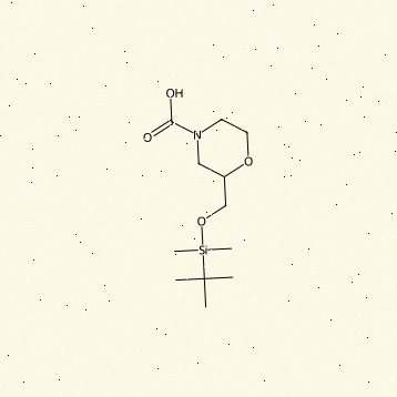 CC(C)(C)[Si](C)(C)OCC1CN(C(=O)O)CCO1